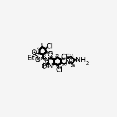 CCS(=O)(=O)c1ccc(Cl)cc1Cn1c(=O)[nH]c2c(Cl)c(CN3CCC(N)C3)c(C(F)(F)F)cc2c1=O